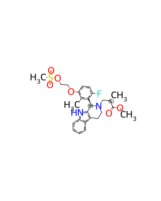 COC(=O)[C@@H](C)CN1CCc2c([nH]c3ccccc23)[C@H]1c1c(F)ccc(OCCOS(C)(=O)=O)c1C